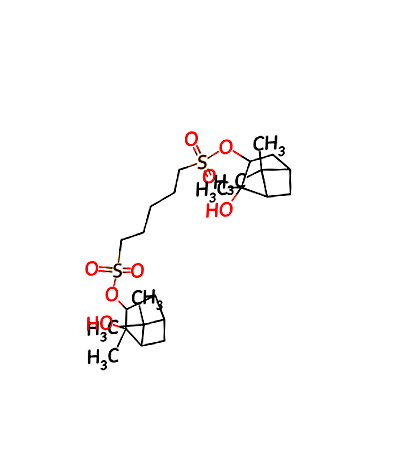 CC1(C)C2CC(OS(=O)(=O)CCCCCS(=O)(=O)OC3CC4CC(C4(C)C)C3(C)O)C(C)(O)C1C2